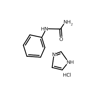 Cl.NC(=O)Nc1ccccc1.c1c[nH]cn1